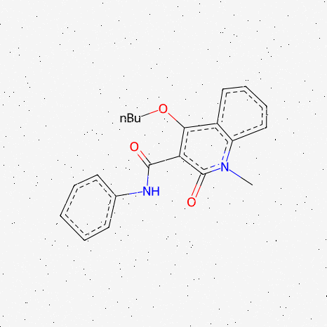 CCCCOc1c(C(=O)Nc2ccccc2)c(=O)n(C)c2ccccc12